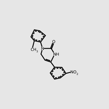 Cc1ccccc1N1CC=C(c2cccc([N+](=O)[O-])c2)NC1=O